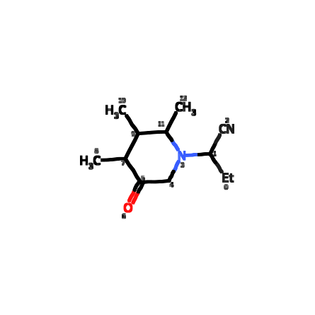 CCC(C#N)N1CC(=O)C(C)C(C)C1C